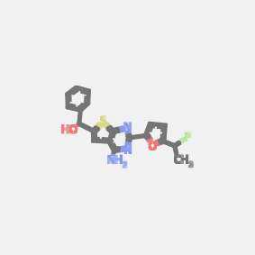 CC(F)c1ccc(-c2nc(N)c3cc(C(O)c4ccccc4)sc3n2)o1